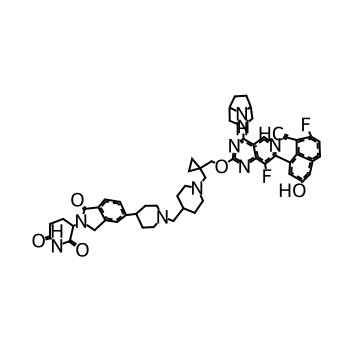 C#Cc1c(F)ccc2cc(O)cc(-c3ncc4c(N5CC6CCC(C5)N6)nc(OCC5(CN6CCC(CN7CCC(c8ccc9c(c8)CN(C8CCC(=O)NC8=O)C9=O)CC7)CC6)CC5)nc4c3F)c12